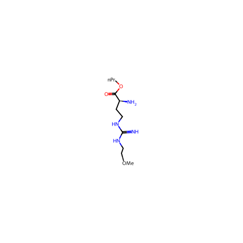 CCCOC(=O)[C@@H](N)CCNC(=N)NCCOC